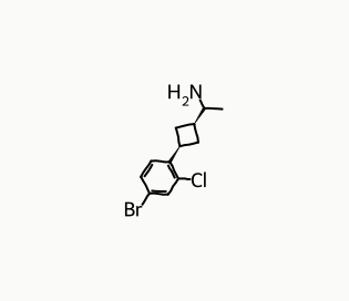 CC(N)[C@H]1C[C@@H](c2ccc(Br)cc2Cl)C1